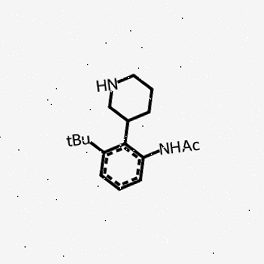 CC(=O)Nc1cccc(C(C)(C)C)c1C1CCCNC1